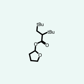 CC(C)(C)CC(C(=O)OC1CCCO1)C(C)(C)C